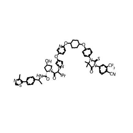 Cc1ncsc1-c1ccc(C(C)NC(=O)[C@@H]2C[C@@H](O)CN2C(=O)C(C(C)C)n2cc(Oc3ccc(OC4CCC(Oc5ccc(N6C(=S)N(c7ccc(C#N)c(C(F)(F)F)c7)C(=O)C6(C)C)cc5)CC4)nc3)cn2)cc1